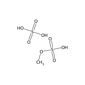 COS(=O)(=O)O.O=S(=O)(O)O